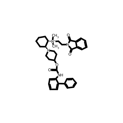 C[N+](C)(CCN1C(=O)c2ccccc2C1=O)[C@H]1CCCC[C@@H]1N1CCC(OC(=O)Nc2ccccc2-c2ccccc2)CC1